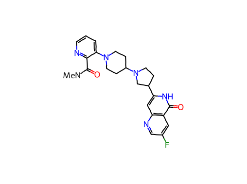 CNC(=O)c1ncccc1N1CCC(N2CCC(c3cc4ncc(F)cc4c(=O)[nH]3)C2)CC1